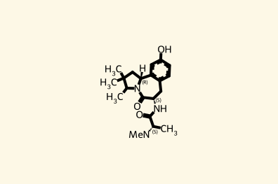 CN[C@@H](C)C(=O)N[C@H]1Cc2ccc(O)cc2[C@H]2CC(C)(C)C(C)N2C1=O